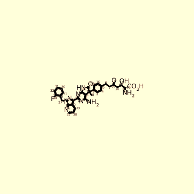 CC1(c2ccc(CCC(=O)C[C@H](O)[C@@H](N)C(=O)O)cc2)C(=O)Nc2nc(-c3nn(Cc4ccccc4F)c4ncccc34)nc(N)c21